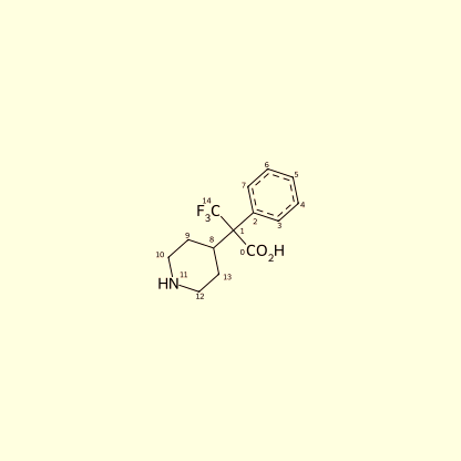 O=C(O)C(c1ccccc1)(C1CCNCC1)C(F)(F)F